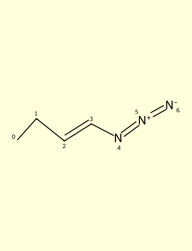 CCC=CN=[N+]=[N-]